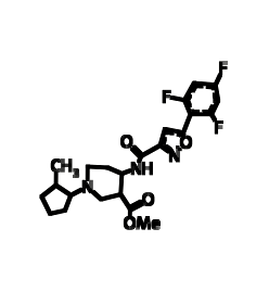 COC(=O)C1CN(C2CCCC2C)CCC1NC(=O)c1cc(-c2c(F)cc(F)cc2F)on1